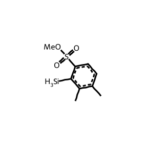 COS(=O)(=O)c1ccc(C)c(C)c1[SiH3]